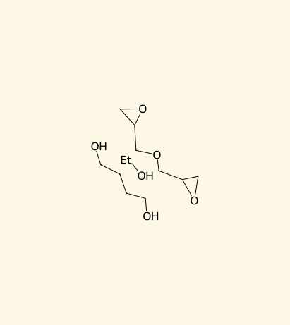 C(OCC1CO1)C1CO1.CCO.OCCCCO